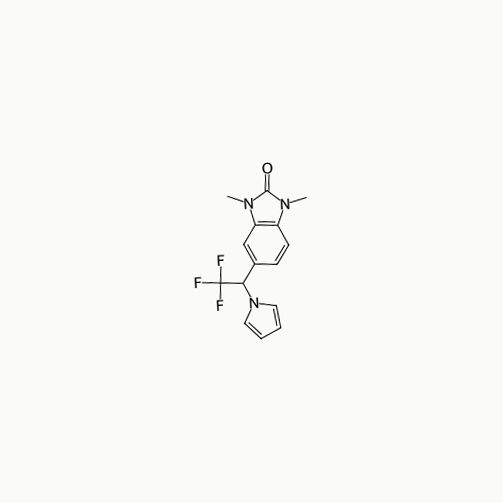 Cn1c(=O)n(C)c2cc(C(n3cccc3)C(F)(F)F)ccc21